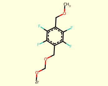 COCc1c(F)c(F)c(COC[O][Zr])c(F)c1F